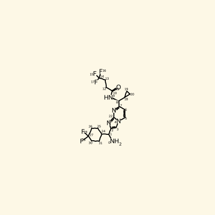 NC(c1cn2ccc([C@@H](NC(=O)CCC(F)(F)F)C3CC3)nc2n1)C1CCC(F)(F)CC1